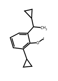 CC(c1cccc(C2CC2)c1OI)C1CC1